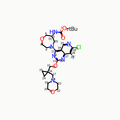 CC(C)(C)OC(=O)N[C@@H]1COCCN(c2nc(OCC3(CN4CCOCC4)CC3)nc3c(F)c(Cl)ncc23)C1